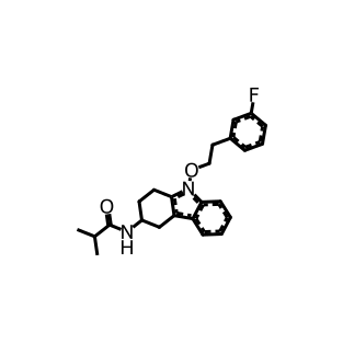 CC(C)C(=O)NC1CCc2c(c3ccccc3n2OCCc2cccc(F)c2)C1